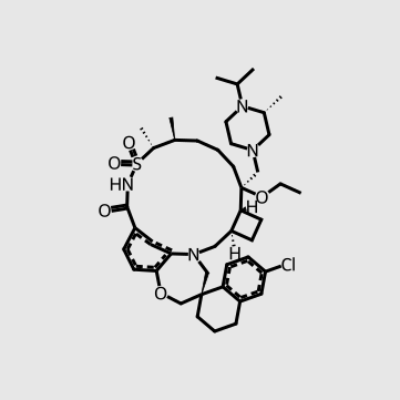 CCO[C@]1(CN2CCN(C(C)C)[C@H](C)C2)CCC[C@H](C)[C@@H](C)S(=O)(=O)NC(=O)c2ccc3c(c2)N(C[C@@H]2CC[C@H]21)C[C@@]1(CCCc2cc(Cl)ccc21)CO3